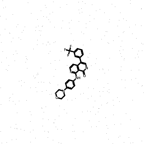 O=C1[N]C=C(c2cccc(C(F)(F)F)c2)c2ccnc(Nc3ccc(N4CCOCC4)cc3)c21